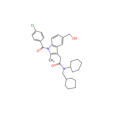 Cc1c(CC(=O)N(CC2CCCCC2)C2CCCCC2)c2cc(CO)ccc2n1C(=O)c1ccc(Cl)cc1